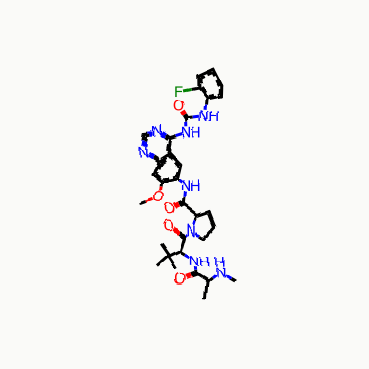 CNC(C)C(=O)NC(C(=O)N1CCCC1C(=O)Nc1cc2c(NC(=O)Nc3ccccc3F)ncnc2cc1OC)C(C)(C)C